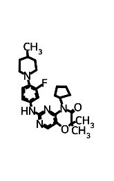 CC1CCN(c2ccc(Nc3ncc4c(n3)N(C3CCCC3)C(=O)C(C)(C)O4)cc2F)CC1